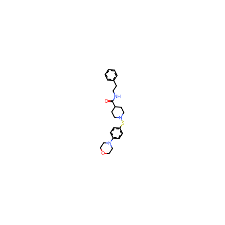 O=C(NCCc1ccccc1)C1CCN(Sc2ccc(N3CCOCC3)cc2)CC1